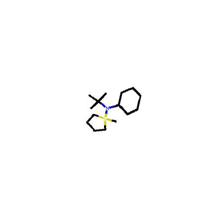 CC(C)(C)N(C1CCCCC1)S1(C)CCCC1